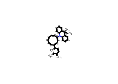 C=CC(=C)/C=C\C(=C)c1ccccccc(N2c3ccccc3C(C)(C)C3C=CC=CC32)cc1